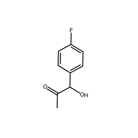 CC(=O)C(O)c1ccc(F)cc1